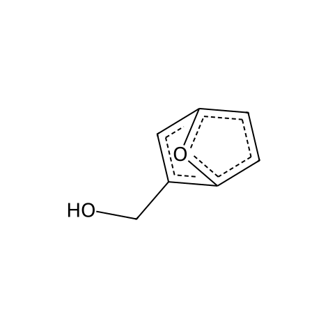 OCc1cc2ccc1o2